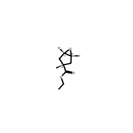 CCOC(=O)[C@]1(C)C[C@@H]2O[C@@H]2C1